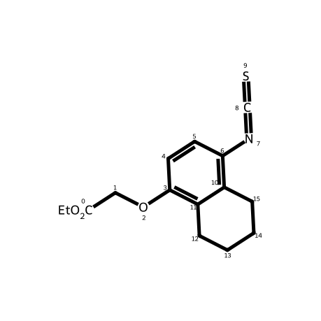 CCOC(=O)COc1ccc(N=C=S)c2c1CCCC2